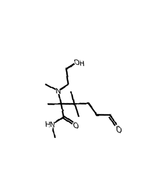 CNC(=O)C(C)(N(C)CCO)C(C)(C)CCC=O